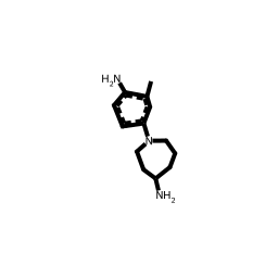 Cc1cc(N2CCCC(N)CC2)ccc1N